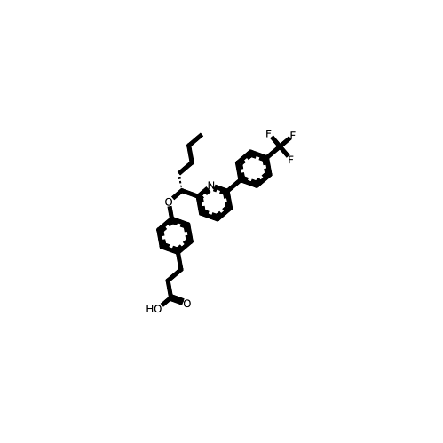 CCCC[C@@H](Oc1ccc(CCC(=O)O)cc1)c1cccc(-c2ccc(C(F)(F)F)cc2)n1